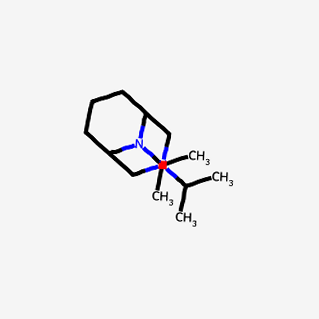 CC(C)N1CC2CCCC(C1)N2C(C)C